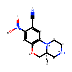 N#Cc1cc2c(cc1[N+](=O)[O-])OC[C@@H]1CNCCN21